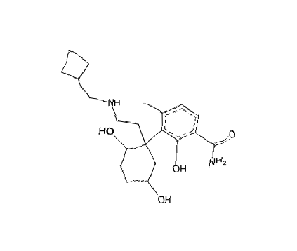 Cc1ccc(C(N)=O)c(O)c1C1(CCNCC2CCC2)CC(O)CCC1O